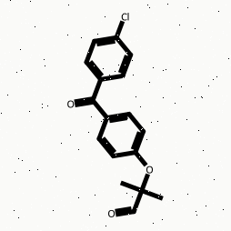 CC(C)(C=O)Oc1ccc(C(=O)c2ccc(Cl)cc2)cc1